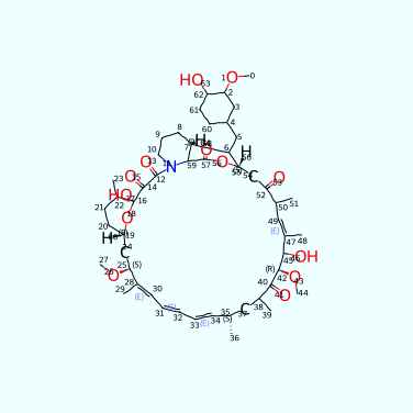 COC1CC(CC2[C@H]3CCCN4C(=O)C(=O)C5(O)O[C@@H](CCC5C)C[C@H](OC)/C(C)=C/C=C/C=C/[C@@H](C)CC(C)C(=O)[C@H](OC)C(O)/C(C)=C/C(C)C(=O)C[C@@H]2OC(=O)C34)CCC1O